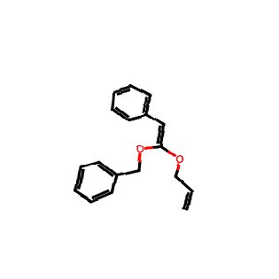 C=CCOC(=Cc1ccccc1)OCc1ccccc1